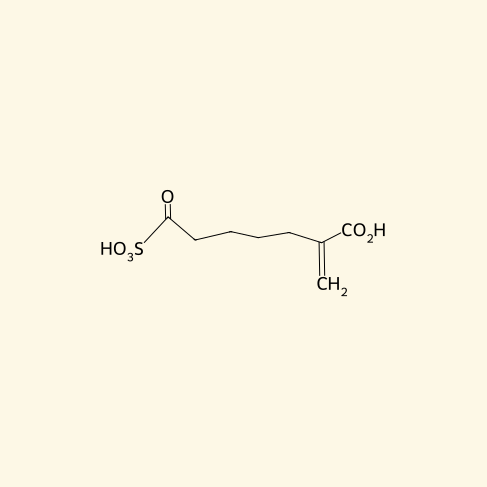 C=C(CCCCC(=O)S(=O)(=O)O)C(=O)O